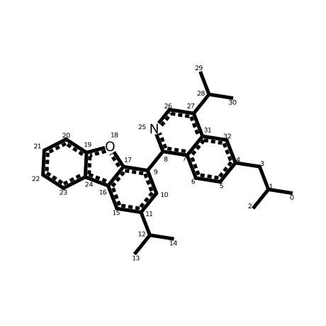 CC(C)Cc1ccc2c(-c3cc(C(C)C)cc4c3oc3ccccc34)ncc(C(C)C)c2c1